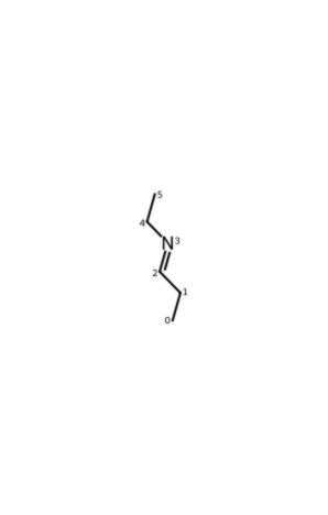 CC/C=N/CC